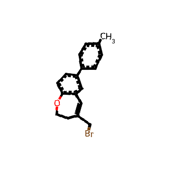 Cc1ccc(-c2ccc3c(c2)C=C(CBr)CCO3)cc1